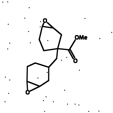 COC(=O)C1(CC2CCC3OC3C2)CCC2OC2C1